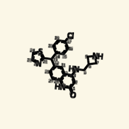 O=c1cc(NCC2CNC2)c2cc(C(c3ccc(Cl)cc3)c3nccs3)ccc2[nH]1